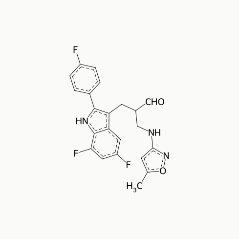 Cc1cc(NCC(C=O)Cc2c(-c3ccc(F)cc3)[nH]c3c(F)cc(F)cc23)no1